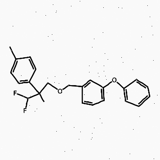 Cc1ccc(C(C)(COCc2cccc(Oc3ccccc3)c2)C(F)F)cc1